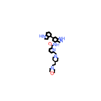 O=C(Nc1cc(-c2cccc3[nH]ccc23)cc2[nH]ncc12)c1cccc(CN2CCC(CCN3CCOCC3)CC2)n1